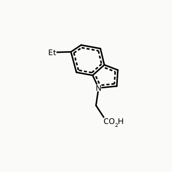 CCc1ccc2ccn(CC(=O)O)c2c1